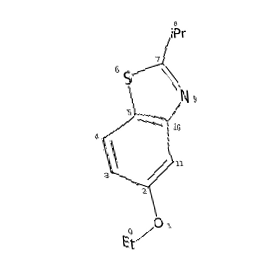 CCOc1ccc2sc(C(C)C)nc2c1